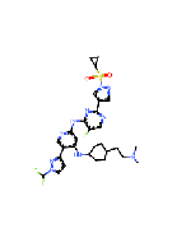 CN(C)CCC1CCC(Nc2cc(Nc3nc(-c4cnn(S(=O)(=O)C5CC5)c4)ncc3F)ncc2-c2ccn(C(F)F)n2)CC1